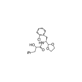 CC(C)CC(O)C(=O)N[C@@H](Cc1ccccc1Cl)C1OCCO1